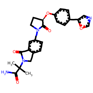 CC(C)(C(N)=O)N1Cc2ccc(N3CC[C@@H](Oc4ccc(-c5cnco5)cc4)C3=O)cc2C1=O